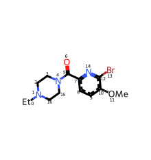 CCN1CCN(C(=O)c2ccc(OC)c(Br)n2)CC1